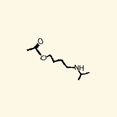 CC(=O)OCCCCNC(C)C